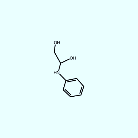 OCC(O)Nc1ccccc1